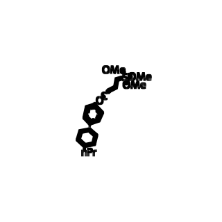 CCC[C@H]1CC[C@H](c2ccc(OCCCC[Si](OC)(OC)OC)cc2)CC1